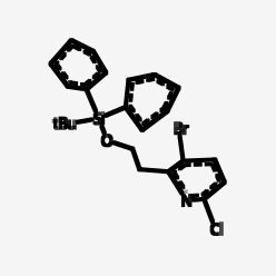 CC(C)(C)[Si](OCCc1nc(Cl)ccc1Br)(c1ccccc1)c1ccccc1